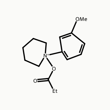 CCC(=O)O[N+]1(c2cccc(OC)c2)CCCCC1